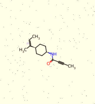 CC#CC(=O)N[C@H]1CC[C@@H](/C(C)=C\C)CC1